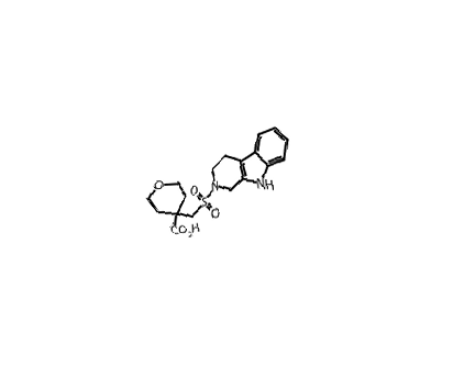 O=C(O)C1(CS(=O)(=O)N2CCc3c([nH]c4ccccc34)C2)CCOCC1